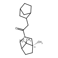 CC1(C)C2CC[C@]1(C)CN(C(=O)CC1CC3CCC1C3)C2